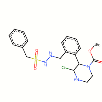 CC(C)(C)OC(=O)N1CCNC(Cl)C1c1ccccc1CNNS(=O)(=O)Cc1ccccc1